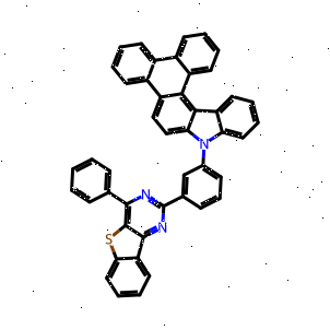 c1ccc(-c2nc(-c3cccc(-n4c5ccccc5c5c6c7ccccc7c7ccccc7c6ccc54)c3)nc3c2sc2ccccc23)cc1